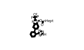 CCCCCCCC(=O)On1c(C(F)(F)C(F)(F)F)nc2cc(-c3ccccc3-c3nn[nH]n3)ccc21